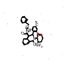 COc1ccc(C2C(C(=O)NOCc3ccccc3)c3ccccc3C(=O)N2C2CCCCC2N)c(OC)c1